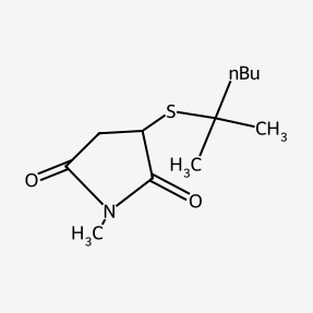 CCCCC(C)(C)SC1CC(=O)N(C)C1=O